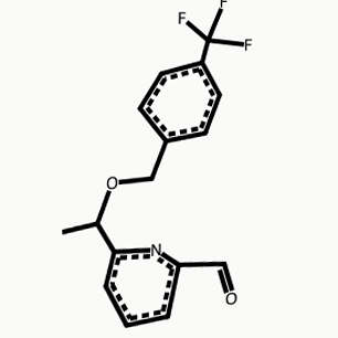 CC(OCc1ccc(C(F)(F)F)cc1)c1cccc(C=O)n1